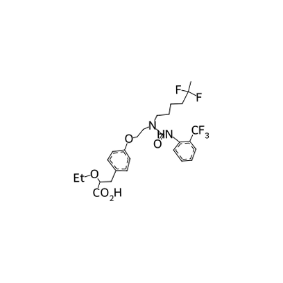 CCOC(Cc1ccc(OCCN(CCCCC(C)(F)F)C(=O)Nc2ccccc2C(F)(F)F)cc1)C(=O)O